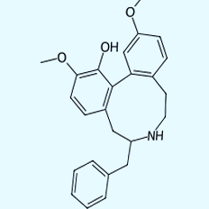 COc1ccc2c(c1)-c1c(ccc(OC)c1O)CC(Cc1ccccc1)NCC2